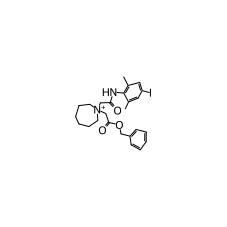 Cc1cc(I)cc(C)c1NC(=O)C[N+]1(CC(=O)OCc2ccccc2)CCCCCC1